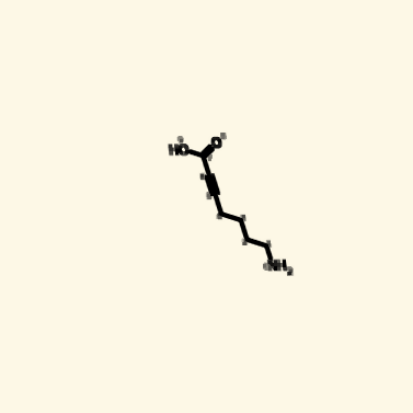 NCCCCC#CC(=O)O